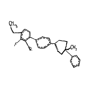 CCc1ccc(-c2ccc(C3=CCC(C)(c4ccccc4)CC3)cc2)c(F)c1F